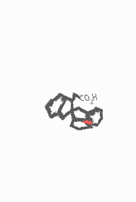 O=C(O)CC1c2ccccc2CC1(Cc1ccccc1)C1=CCCC1